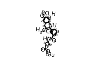 CC(C)(C)OC(=O)N1CC(NC(=O)c2cccc(C3Nc4ccc(OC(=O)O)cc4CC3(C)C)c2)C1